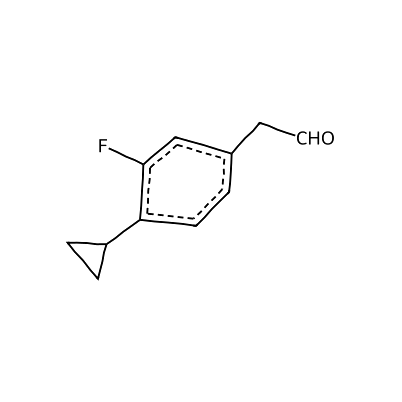 O=CCc1ccc(C2CC2)c(F)c1